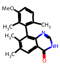 COc1ccc(C)c(-c2c(C)c(C)cc3c(=O)[nH]cnc23)c1C